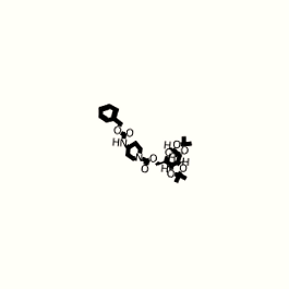 CC1(C)O[C@H]2[C@@H](O1)[C@@H](COC(=O)N1CCC(NC(=O)OCc3ccccc3)CC1)O[C@@H]1OC(C)(C)O[C@@H]12